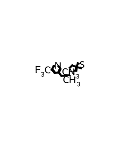 CC(C)(Cc1cncc(C(F)(F)F)c1)CN1CCC2(CSC2)C1